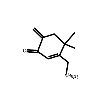 C=C1CC(C)(C)C(CCCCCCCC)=CC1=O